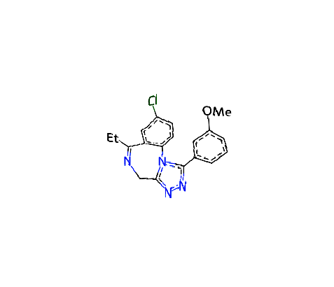 CCC1=NCc2nnc(-c3cccc(OC)c3)n2-c2ccc(Cl)cc21